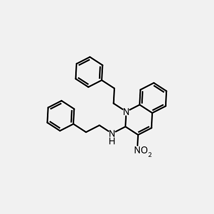 O=[N+]([O-])C1=Cc2ccccc2N(CCc2ccccc2)C1NCCc1ccccc1